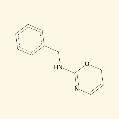 C1=CN=C(NCc2ccccc2)OC1